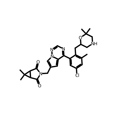 Cc1cc(Cl)cc(-c2ncnn3cc(CN4C(=O)C5C(C4=O)C5(C)C)cc23)c1CC1CNCC(C)(C)O1